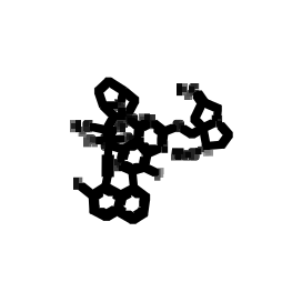 C=C1CN2CC[C@H](OC)C2(COc2nc3c4c(nc(-c5cccc6ccc(F)c(C#C[Si](C(C)C)(C(C)C)C(C)C)c56)c(F)c4n2)OC(C)C2C4CCC(CN32)N4C(=O)O)C1